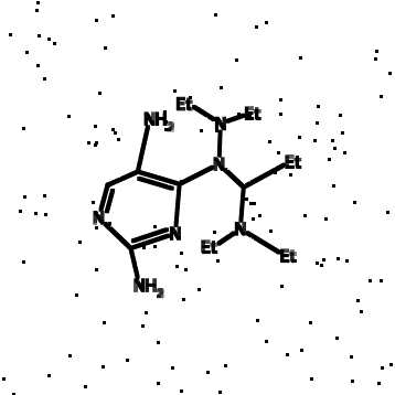 CCC(N(CC)CC)N(c1nc(N)ncc1N)N(CC)CC